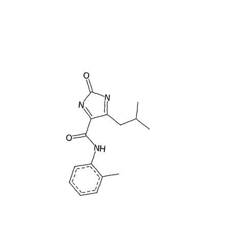 Cc1ccccc1NC(=O)C1=NC(=O)N=C1CC(C)C